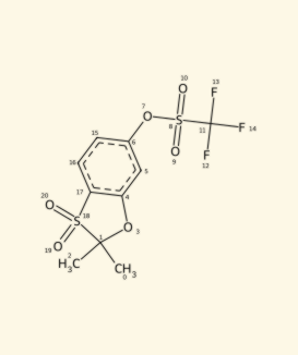 CC1(C)Oc2cc(OS(=O)(=O)C(F)(F)F)ccc2S1(=O)=O